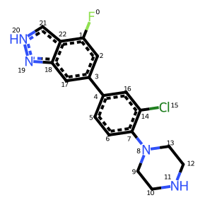 Fc1cc(-c2ccc(N3CCNCC3)c(Cl)c2)cc2n[nH]cc12